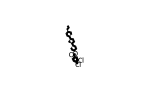 CCC[C@H]1CC[C@H]([C@H]2CC[C@H]([C@H]3CC[C@H](OC(=O)c4ccc(Cl)c(Cl)c4)CC3)CC2)CC1